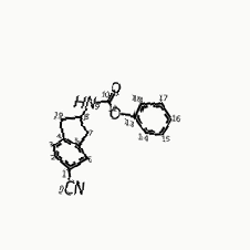 N#Cc1ccc2c(c1)CC(NC(=O)Oc1ccccc1)C2